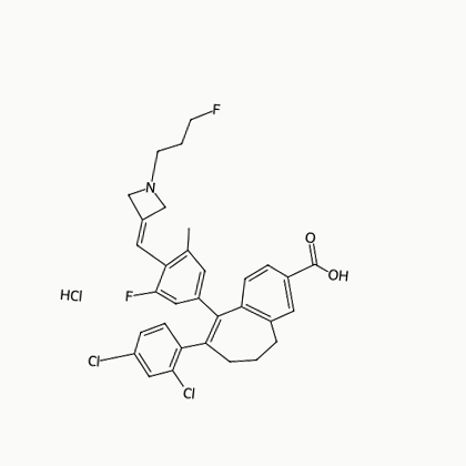 Cc1cc(C2=C(c3ccc(Cl)cc3Cl)CCCc3cc(C(=O)O)ccc32)cc(F)c1C=C1CN(CCCF)C1.Cl